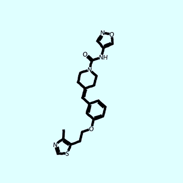 Cc1ncsc1CCOc1cccc(C=C2CCN(C(=O)Nc3cnoc3)CC2)c1